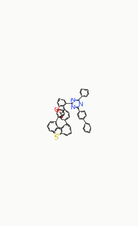 c1ccc(-c2ccc(-c3nc(-c4ccccc4)nc(-c4cccc5oc6cc(-c7cccc8sc9cccc(-c%10ccccc%10)c9c78)ccc6c45)n3)cc2)cc1